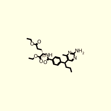 CCCC(c1ccc(C(=O)N[C@@H](CCC(=O)OCC)C(=O)OCC)cc1)c1cnc(N)nc1C